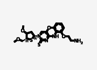 COC[C@H]1S[C@@H](n2cc3c(nc2=S)Nc2c(OCCN)cccc2O3)CC1OC